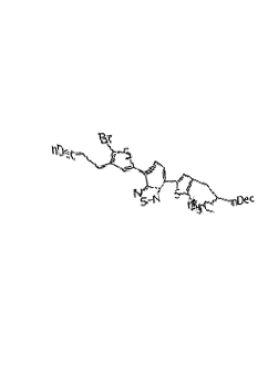 CCCCCCCCCCCCc1cc(-c2ccc(-c3cc(CC(C)CCCCCCCCCC)c(Br)s3)c3nsnc23)sc1Br